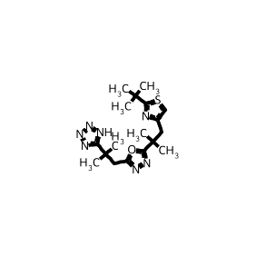 CC(C)(C)c1nc(CC(C)(C)c2nnc(CC(C)(C)c3nnn[nH]3)o2)cs1